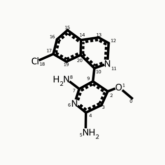 COc1cc(N)nc(N)c1-c1nccc2ccc(Cl)cc12